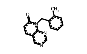 Cc1ccccc1Cn1c(=O)ccc2cncnc21